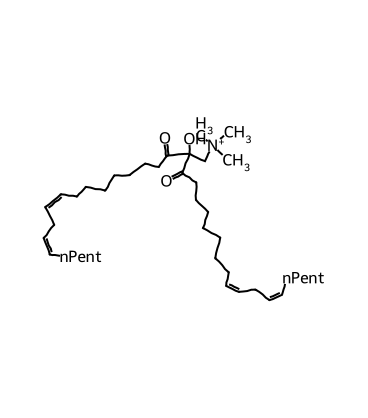 CCCCC/C=C\C/C=C\CCCCCCCC(=O)C(O)(C[N+](C)(C)C)C(=O)CCCCCCC/C=C\C/C=C\CCCCC